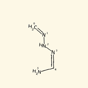 C=NN/N=C\N